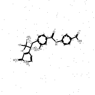 C=C(Cl)/C=C(\C=C/N)[C@](O)([C@H](C)c1ccc(C(=O)Nc2ccc(C(=O)O)cc2)cc1Cl)C(F)(F)F